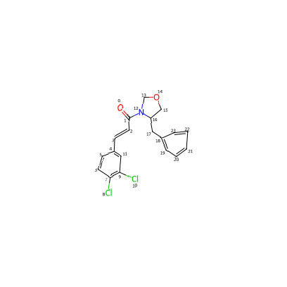 O=C(C=Cc1ccc(Cl)c(Cl)c1)N1COCC1Cc1ccccc1